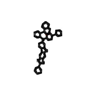 c1ccc(-c2ccc(N(c3ccc4c(c3)oc3cc5oc(-c6ccccc6)nc5cc34)c3ccccc3-c3cccc4ccccc34)cc2)cc1